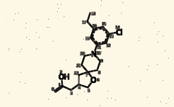 C=C(O)CC1COC2(CCN(c3cc(Cl)cc(CC)c3)CC2)C1